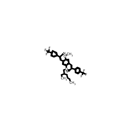 CCCCC(CC)COc1cc(/C=C(\C#N)c2ccc(C(F)(F)F)cc2)c(OC)cc1/C=C(\C#N)c1ccc(C(F)(F)F)cc1